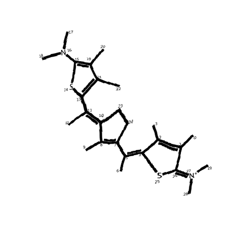 CC1=C(C)/C(=C(/C)C2=C(C)/C(=C(\C)c3sc(N(C)C)c(C)c3C)CC2)SC1=[N+](C)C